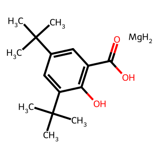 CC(C)(C)c1cc(C(=O)O)c(O)c(C(C)(C)C)c1.[MgH2]